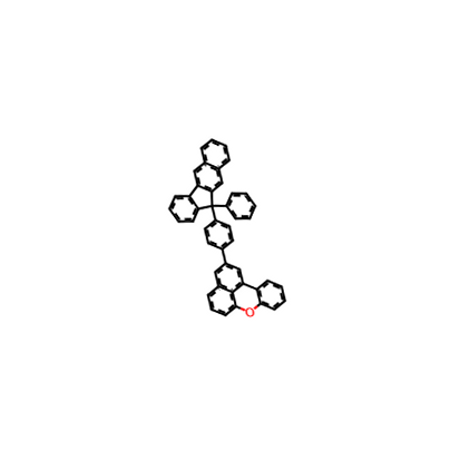 c1ccc(C2(c3ccc(-c4cc5c6c(cccc6c4)Oc4ccccc4-5)cc3)c3ccccc3-c3cc4ccccc4cc32)cc1